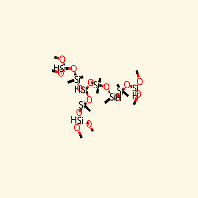 CO[SiH](OC)O[Si](C)(C)O[SiH](C)O[Si](C)(C)O[SiH](O[Si](C)(C)O[SiH](OC)OC)O[Si](C)(C)O[SiH](OC)OC